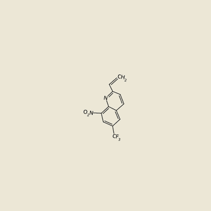 C=Cc1ccc2cc(C(F)(F)F)cc([N+](=O)[O-])c2n1